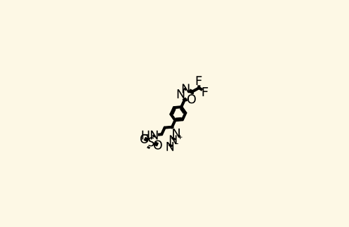 CS(=O)(=O)NCCC(N=[N+]=[N-])c1ccc(-c2nnc(C(F)F)o2)cc1